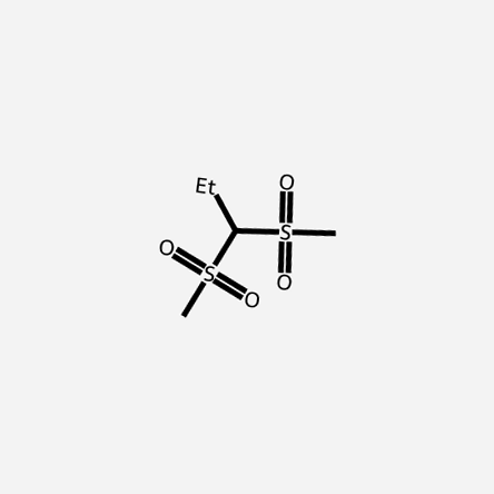 CCC(S(C)(=O)=O)S(C)(=O)=O